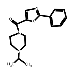 CC(C)N1CCN(C(=O)c2cnc(-c3ccccc3)s2)CC1